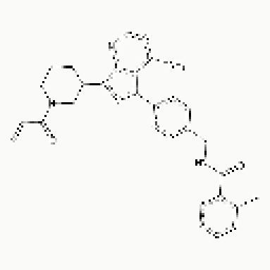 C=CC(=O)N1CCCC(n2nc(-c3ccc(CNC(=O)c4ccccc4F)cc3)c3c(N)ncnc32)C1